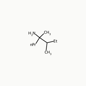 CCCC(C)(N)C(C)CC